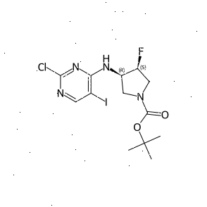 CC(C)(C)OC(=O)N1C[C@H](F)[C@H](Nc2nc(Cl)ncc2I)C1